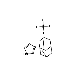 C1C2CC3CC1CC(C2)C3.F[B-](F)(F)F.c1c[nH]cn1